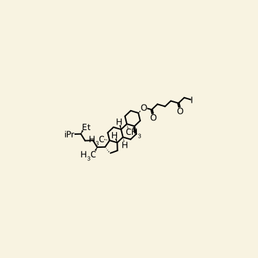 CC[C@@H](CC[C@H](C)[C@H]1CC[C@H]2[C@@H]3CC=C4C[C@@H](OC(=O)CCCC(=O)CI)CC[C@]4(C)[C@H]3CC[C@]12C)C(C)C